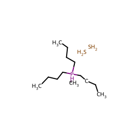 CCCC[PH](C)(CCCC)CCCC.S.S